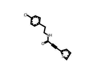 O=C(C#Cc1cccs1)NCCc1ccc(Cl)cc1